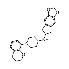 c1cc2c(c(N3CCC(NC4Cc5cc6c(cc5C4)OCO6)CC3)c1)OCCC2